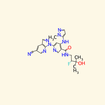 Cn1nccc1Nc1cc(-n2ncc3cc(C#N)cnc32)ncc1C(=O)NCC(F)C(C)(C)O